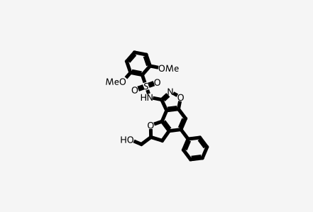 COc1cccc(OC)c1S(=O)(=O)Nc1noc2cc(-c3ccccc3)c3c(c12)OC(CO)C3